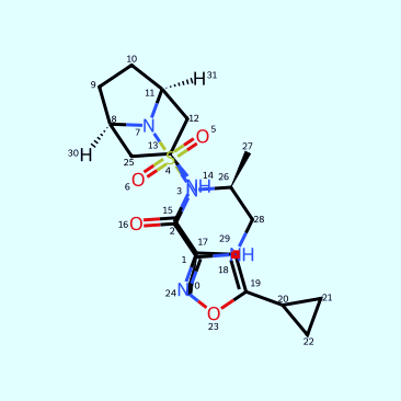 C[C@H]1CN(S(=O)(=O)N2[C@@H]3CC[C@H]2C[C@@H](NC(=O)c2cc(C4CC4)on2)C3)[C@@H](C)CN1